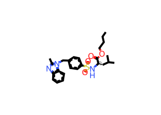 CCCCOC(=O)[C@H](CC(C)C)NS(=O)(=O)c1ccc(Cn2c(C)nc3ccccc32)cc1